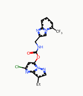 CCc1cnn2c(OC(=O)NCc3cn4c(C(F)(F)F)cccc4n3)cc(Cl)nc12